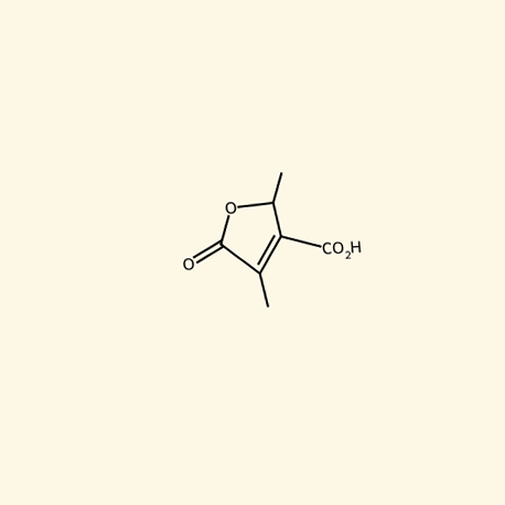 CC1=C(C(=O)O)C(C)OC1=O